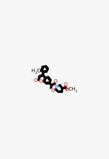 COC(=O)C1CCCN(C(=O)C(C=O)c2ccc3c(-c4ccccc4C)cc(=O)oc3c2)C1